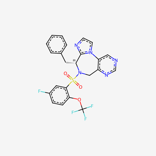 O=S(=O)(c1cc(F)ccc1OC(F)(F)F)N1Cc2ncncc2-n2ccnc2[C@H]1Cc1ccccc1